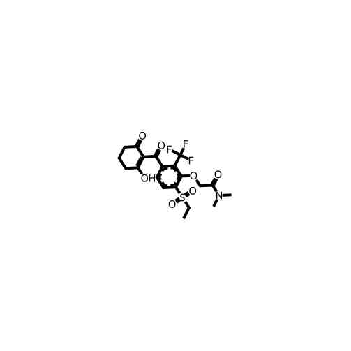 CCS(=O)(=O)c1ccc(C(=O)C2=C(O)CCCC2=O)c(C(F)(F)F)c1OCC(=O)N(C)C